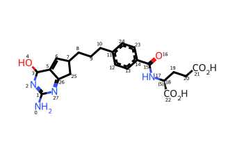 NC1=NC(O)C2=CC(CCCc3ccc(C(=O)N[C@@H](CCC(=O)O)C(=O)O)cc3)CC2=N1